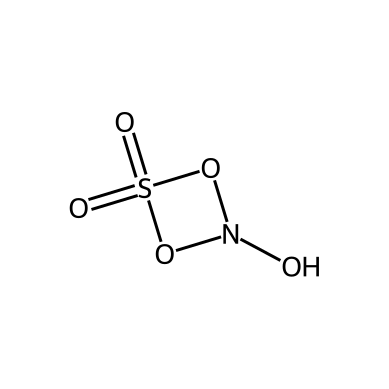 O=S1(=O)ON(O)O1